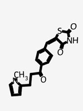 Cn1cccc1CCC(=O)c1ccc(C=C2SC(=O)NC2=O)cc1